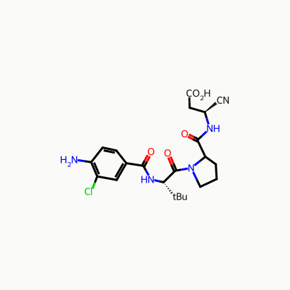 CC(C)(C)[C@H](NC(=O)c1ccc(N)c(Cl)c1)C(=O)N1CCCC1C(=O)N[C@H](C#N)CC(=O)O